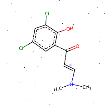 CN(C)/C=C/C(=O)c1cc(Cl)cc(Cl)c1O